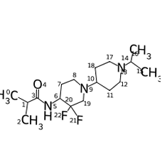 CC(C)C(=O)NC1CCN(C2CCN(C(C)C)CC2)CC1(F)F